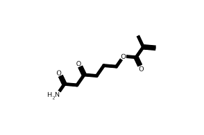 C=C(C)C(=O)OCCCC(=O)CC(N)=O